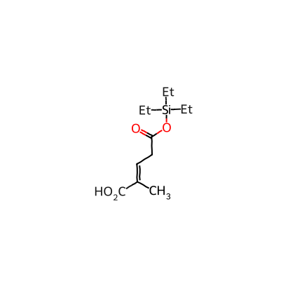 CC[Si](CC)(CC)OC(=O)CC=C(C)C(=O)O